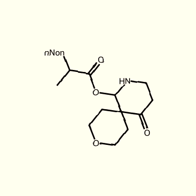 CCCCCCCCCC(C)C(=O)OC1NCCC(=O)C12CCOCC2